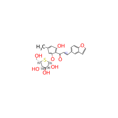 Cc1cc(O)c(C(=O)/C=C/c2ccc3occc3c2)c(O[C@H]2S[C@@H](CO)[C@@H](O)[C@H](O)[C@H]2O)c1